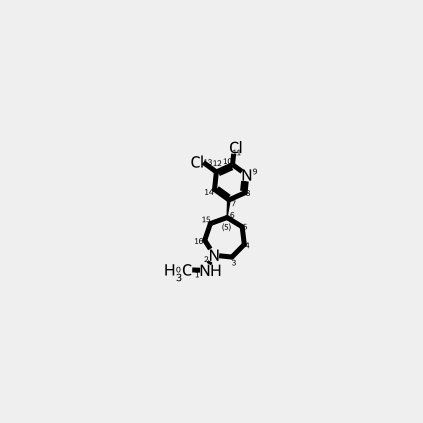 CNN1CCC[C@H](c2cnc(Cl)c(Cl)c2)CC1